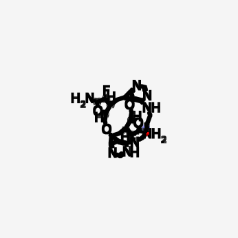 N[C@@H]1O[C@@H]2COC34C[C@H]5[C@@H](F)[C@H](N)O[C@@H]5COC5(C[C@H]2[C@H]1F)c1ncnc(c15)NC/C=C/CNc1ncnc3c14